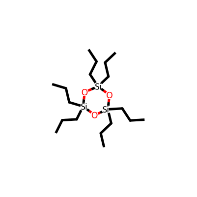 CCC[Si]1(CCC)O[Si](CCC)(CCC)O[Si](CCC)(CCC)O1